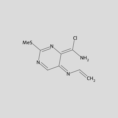 C=C/N=C1/C=NC(SC)=N/C1=C(/N)Cl